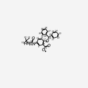 COC(=O)c1cc(NC(=O)NC(C)(C)C)ccc1OC(c1ccccc1)c1ccccc1